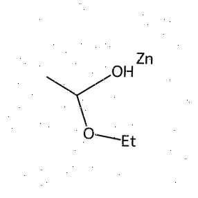 CCOC(C)O.[Zn]